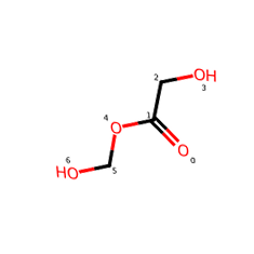 O=C(CO)OCO